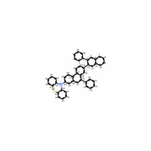 c1ccc(-c2cc3ccccc3cc2-c2ccc3c(c2)c(-c2ccccc2)cc2cc(N4c5ccccc5Sc5ccccc54)ccc23)cc1